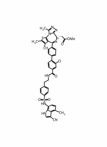 COC(=O)C[C@@H]1N=C(c2ccc(-c3ccc(C(=O)NCCc4ccc(S(=O)(=O)Nc5ccc(C)c6c(C#N)c[nH]c56)cc4)cc3Cl)cc2)c2c(sc(C)c2C)-n2c(C)nnc21